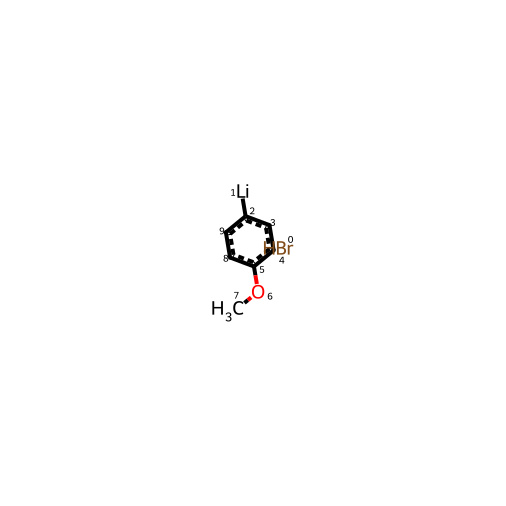 Br.[Li][c]1ccc(OC)cc1